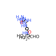 Nc1nc2c(c(=O)[nH]1)N[C@@H](CNc1ccc(C(=O)NC(CC(C=O)C(=O)O)C(=O)O)cc1)CN2